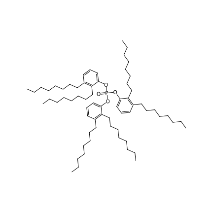 CCCCCCCCc1cccc(OP(=O)(Oc2cccc(CCCCCCCC)c2CCCCCCCC)Oc2cccc(CCCCCCCC)c2CCCCCCCC)c1CCCCCCCC